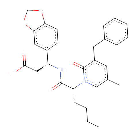 CCCC[C@H](C(=O)N[C@@H](CC(=O)O)c1ccc2c(c1)OCO2)n1cc(C)cc(Cc2ccccc2)c1=O